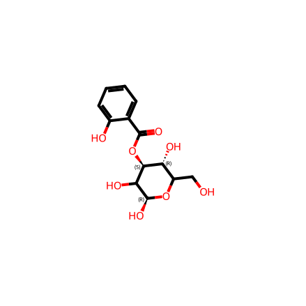 O=C(O[C@@H]1C(O)[C@H](O)OC(CO)[C@H]1O)c1ccccc1O